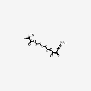 C=C(C#N)C(=O)OCCOCCOC(=O)C(=C)C#[N+]CCCC